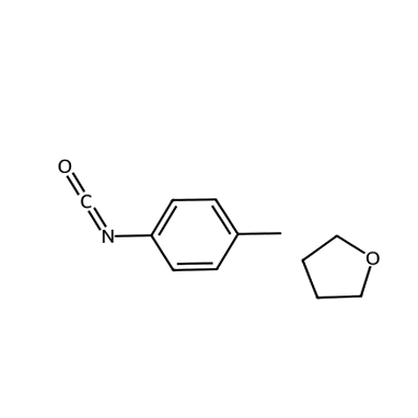 C1CCOC1.Cc1ccc(N=C=O)cc1